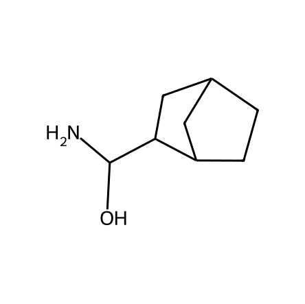 NC(O)C1CC2CCC1C2